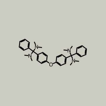 CN(C)C(c1ccccc1)(c1ccc(Oc2ccc(C(c3ccccc3)(N(C)C)N(C)C)cc2)cc1)N(C)C